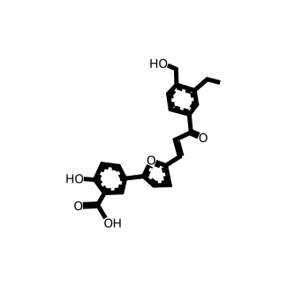 CCc1cc(C(=O)/C=C/c2ccc(-c3ccc(O)c(C(=O)O)c3)o2)ccc1CO